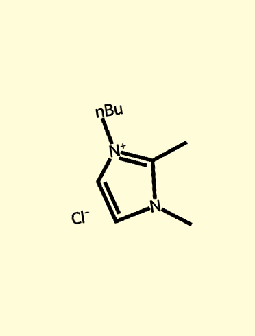 CCCC[n+]1ccn(C)c1C.[Cl-]